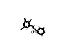 Cc1cc(C)c(C)c(C=[N+]([O-])c2ccccc2)c1